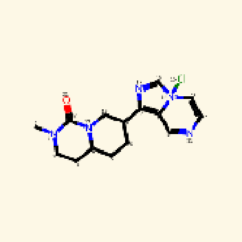 CN1CCC2CCC(C3=C4C=NC=C[N+]4(Cl)C=N3)CN2C1=O